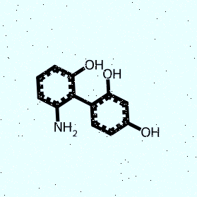 Nc1cccc(O)c1-c1ccc(O)cc1O